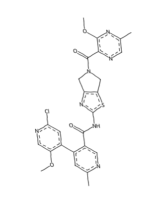 COc1cnc(Cl)cc1-c1cc(C)ncc1C(=O)Nc1nc2c(s1)CN(C(=O)c1ncc(C)nc1OC)C2